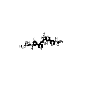 CC(C)C(=O)Nc1cncc(-c2cnc3[nH]nc(-c4cc5c(-c6cc(F)cc(NCCN(C)C)c6)cncc5[nH]4)c3c2)c1